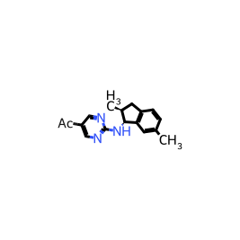 CC(=O)c1cnc(N[C@H]2c3cc(C)ccc3C[C@@H]2C)nc1